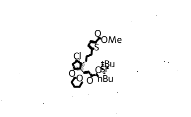 CCCCC(O[Si](C)(C)C(C)(C)C)C(=O)C=C[C@H]1[C@@H](CCCc2ccc(C(=O)OC)s2)[C@@H](Cl)C[C@H]1OC1CCCCO1